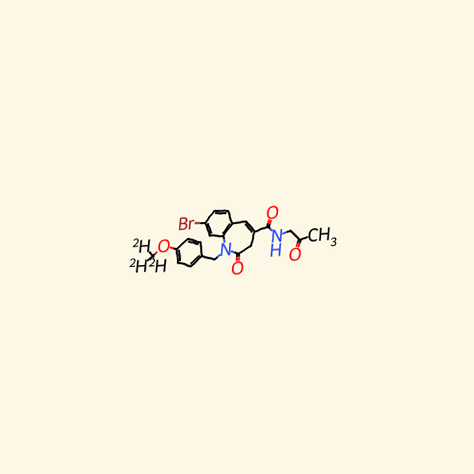 [2H]C([2H])([2H])Oc1ccc(CN2C(=O)CC(C(=O)NCC(C)=O)=Cc3ccc(Br)cc32)cc1